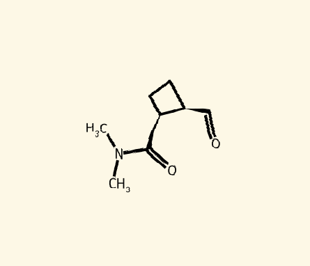 CN(C)C(=O)[C@H]1CC[C@H]1C=O